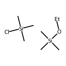 CCO[Si](C)(C)C.C[Si](C)(C)Cl